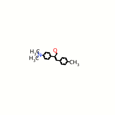 Cc1ccc(C=C(C=O)c2ccc(N(C)C)cc2)cc1